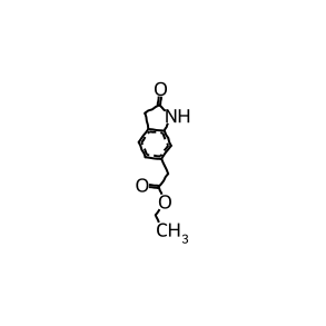 CCOC(=O)Cc1ccc2c(c1)NC(=O)C2